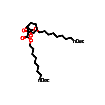 CCCCCCCCCCCCCCCCCCOC(=O)C12CCCCC1(C(=O)OCCCCCCCCCCCCCCCCCC)O2